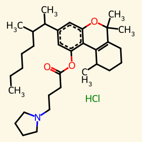 CCCCCC(C)C(C)c1cc(OC(=O)CCCN2CCCC2)c2c(c1)OC(C)(C)C1=C2C(C)CCC1.Cl